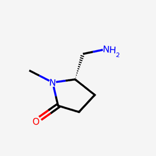 CN1C(=O)CC[C@H]1CN